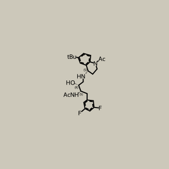 CC(=O)N[C@@H](Cc1cc(F)cc(F)c1)[C@H](O)CN[C@H]1CCN(C(C)=O)c2ccc(C(C)(C)C)cc21